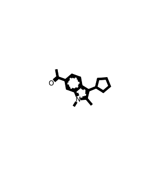 CC(=O)c1ccc2c(C3CCCC3)c(C)n(C)c2c1